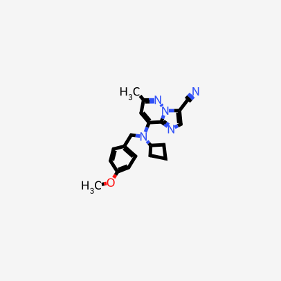 COc1ccc(CN(c2cc(C)nn3c(C#N)cnc23)C2CCC2)cc1